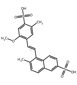 COc1cc(S(=O)(=O)O)c(C)cc1/C=C/c1c(C)ccc2cc(S(=O)(=O)O)ccc12